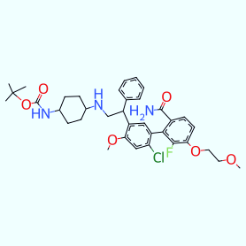 COCCOc1ccc(C(N)=O)c(-c2cc(C(CNC3CCC(NC(=O)OC(C)(C)C)CC3)c3ccccc3)c(OC)cc2Cl)c1F